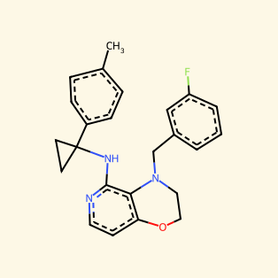 Cc1ccc(C2(Nc3nccc4c3N(Cc3cccc(F)c3)CCO4)CC2)cc1